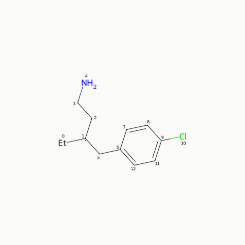 CC[C](CCN)Cc1ccc(Cl)cc1